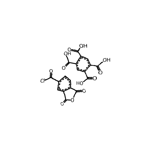 O=C(Cl)c1ccc2c(c1)C(=O)OC2=O.O=C(O)c1cc(C(=O)O)c(C(=O)O)cc1C(=O)O